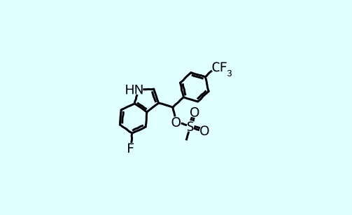 CS(=O)(=O)OC(c1ccc(C(F)(F)F)cc1)c1c[nH]c2ccc(F)cc12